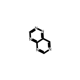 [c]1nnc2cncnc2n1